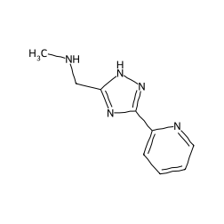 CNCc1nc(-c2ccccn2)n[nH]1